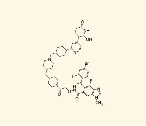 Cn1cnc2c(F)c(Nc3ccc(Br)cc3F)c(C(=O)NOCC(=O)N3CCC(CC4CCN(CC5CCN(c6cc(C7CCC(=O)NC7O)ccn6)CC5)CC4)CC3)cc21